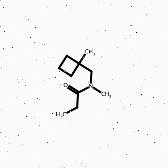 CCC(=O)N(C)CC1(C)CCC1